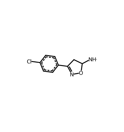 [NH]C1CC(c2ccc(Cl)cc2)=NO1